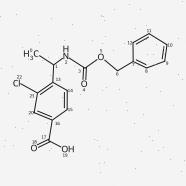 CC(NC(=O)OCc1ccccc1)c1ccc(C(=O)O)cc1Cl